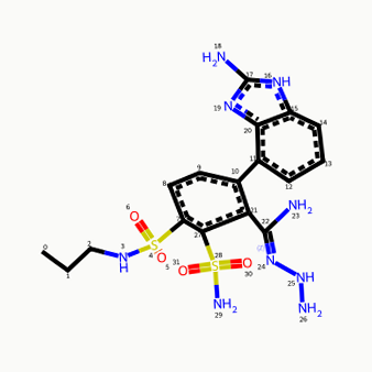 CCCNS(=O)(=O)c1ccc(-c2cccc3[nH]c(N)nc23)c(/C(N)=N/NN)c1S(N)(=O)=O